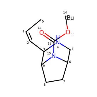 C/C=C\C1NCC2CCC1N2C(=O)OC(C)(C)C